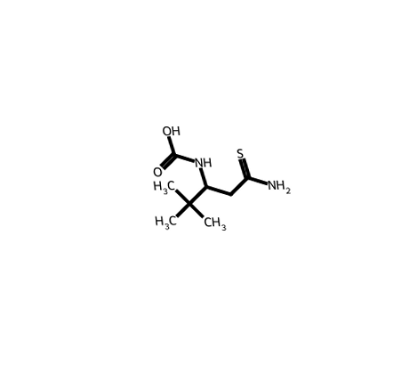 CC(C)(C)C(CC(N)=S)NC(=O)O